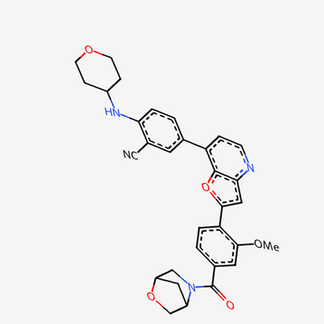 COc1cc(C(=O)N2CC3CC2CO3)ccc1-c1cc2nccc(-c3ccc(NC4CCOCC4)c(C#N)c3)c2o1